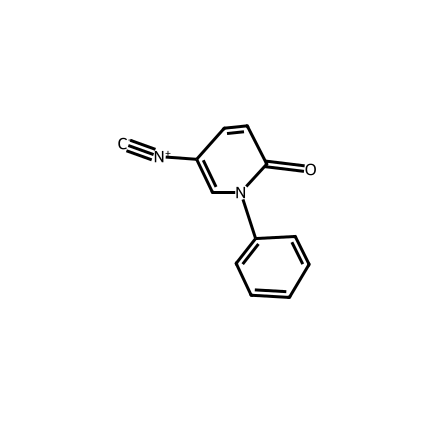 [C-]#[N+]c1ccc(=O)n(-c2ccccc2)c1